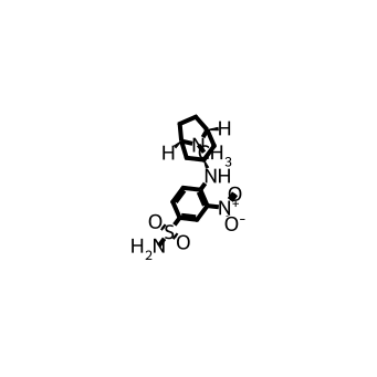 CN1[C@@H]2CC[C@H]1C[C@H](Nc1ccc(S(N)(=O)=O)cc1[N+](=O)[O-])C2